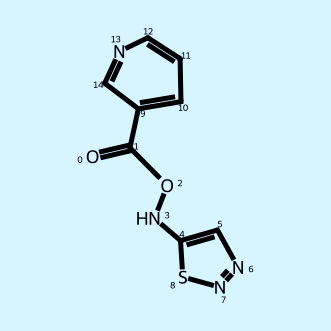 O=C(ONc1cnns1)c1cccnc1